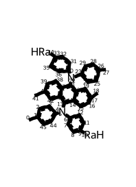 Cc1ccc(N(c2cc[c]([RaH])cc2)c2c3ccc(C)cc3c(N(c3ccc(C)cc3)c3cc[c]([RaH])cc3)c3ccc(C)cc23)cc1